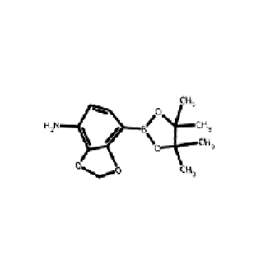 CC1(C)OB(c2ccc(N)c3c2OCO3)OC1(C)C